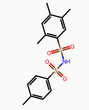 Cc1ccc(S(=O)(=O)NS(=O)(=O)c2cc(C)c(C)cc2C)cc1